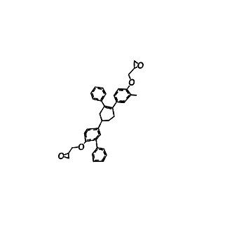 Cc1cc(C2=C(c3ccccc3)CC(c3ccc(OCC4CO4)c(-c4ccccc4)c3)CC2)ccc1OCC1CO1